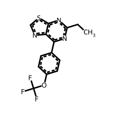 CCc1nc(-c2ccc(OC(F)(F)F)cc2)c2ncsc2n1